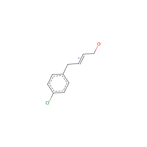 [O]C/C=C/Cc1ccc(Cl)cc1